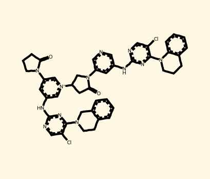 O=C1CCCN1c1cc(Nc2ncc(Cl)c(N3CCc4ccccc4C3)n2)c[n+](C2CC(=O)N(c3cncc(Nc4ncc(Cl)c(N5CCCc6ccccc65)n4)c3)C2)c1